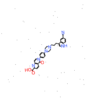 N#Cc1ccc2[nH]cc(CCCN3CCN(c4ccc(-n5ccc6nc(C(=O)O)ccc6c5=O)cc4)CC3)c2c1